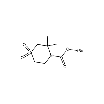 CC(C)(C)OC(=O)N1CCS(=O)(=O)CC1(C)C